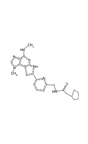 CNc1nc2[nH]c(-c3cccc(CNC(=O)CC4CCCC4)n3)cc2c2c1ncn2C